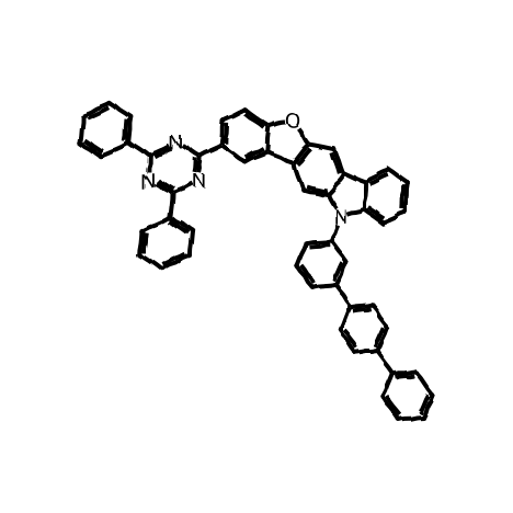 c1ccc(-c2ccc(-c3cccc(-n4c5ccccc5c5cc6oc7ccc(-c8nc(-c9ccccc9)nc(-c9ccccc9)n8)cc7c6cc54)c3)cc2)cc1